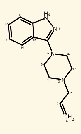 C=CCN1CCN(c2n[nH]c3ccccc23)CC1